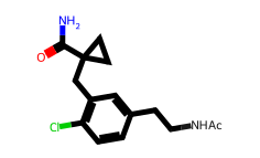 CC(=O)NCCc1ccc(Cl)c(CC2(C(N)=O)CC2)c1